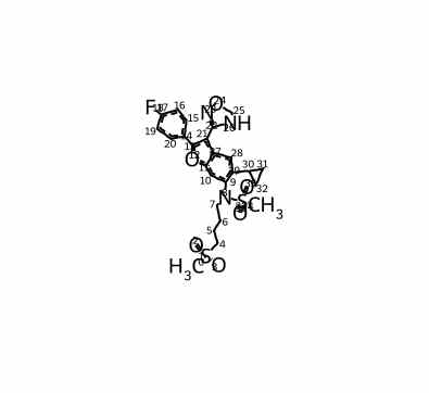 CS(=O)(=O)CCCCN(c1cc2oc(-c3ccc(F)cc3)c(C3=NOCN3)c2cc1C1CC1)S(C)(=O)=O